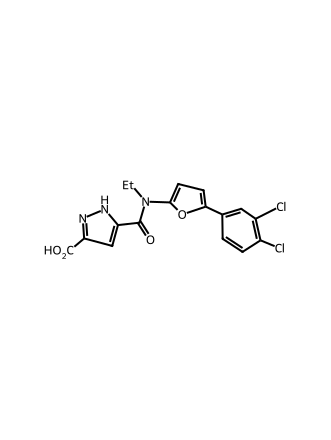 CCN(C(=O)c1cc(C(=O)O)n[nH]1)c1ccc(-c2ccc(Cl)c(Cl)c2)o1